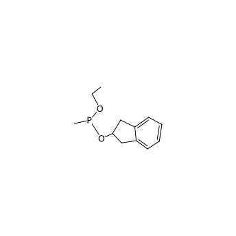 CCOP(C)OC1Cc2ccccc2C1